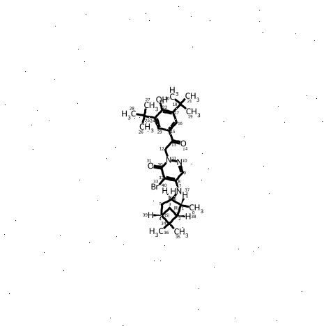 C[C@@H]1[C@H]2C[C@@H](C[C@H]1Nc1cnn(CC(=O)c3cc(C(C)(C)C)c(O)c(C(C)(C)C)c3)c(=O)c1Br)C2(C)C